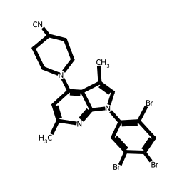 [C-]#[N+]C1CCN(c2cc(C)nc3c2c(C)cn3-c2cc(Br)c(Br)cc2Br)CC1